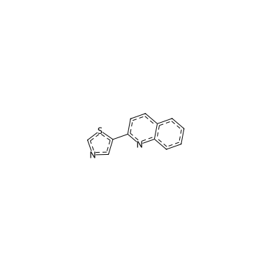 c1ccc2nc(-c3cncs3)ccc2c1